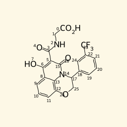 O=C(O)CNC(=O)c1c(O)c2cccc3c2n(c1=O)C(c1cccc(C(F)(F)F)c1)CO3